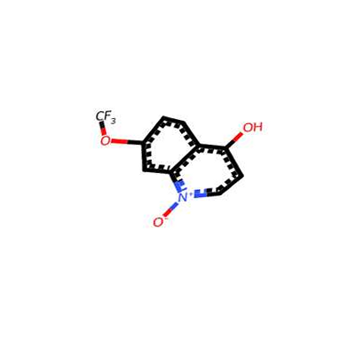 [O-][n+]1ccc(O)c2ccc(OC(F)(F)F)cc21